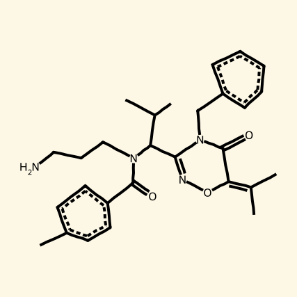 CC(C)=C1ON=C(C(C(C)C)N(CCCN)C(=O)c2ccc(C)cc2)N(Cc2ccccc2)C1=O